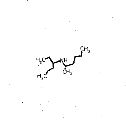 CCCCC(C)NC(CC)CCC